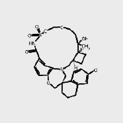 CC1(O)CCCCCS(=O)(=O)NC(=O)c2ccc3c(c2)N(C[C@@H]2CC[C@H]21)C[C@@]1(CCCc2cc(Cl)ccc21)CO3